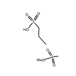 CCCS(=O)(=O)O.COS(C)(=O)=O